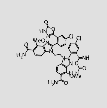 COc1c(C(N)=O)ccc2c1nc(-c1ccc(Cl)cc1C(=N)OC(N)=O)n2CCn1c(-c2ccc(Cl)cc2-c2n[nH]c(=O)o2)nc2c(OC)c(C(N)=O)ccc21